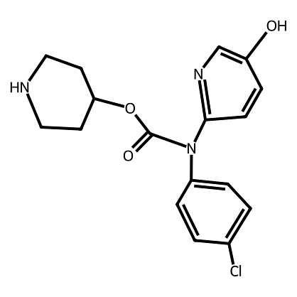 O=C(OC1CCNCC1)N(c1ccc(Cl)cc1)c1ccc(O)cn1